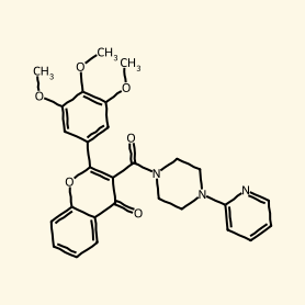 COc1cc(-c2oc3ccccc3c(=O)c2C(=O)N2CCN(c3ccccn3)CC2)cc(OC)c1OC